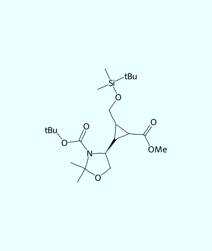 COC(=O)C1C(CO[Si](C)(C)C(C)(C)C)C1[C@H]1COC(C)(C)N1C(=O)OC(C)(C)C